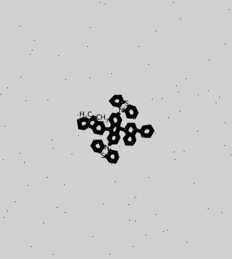 CC1(C)c2ccccc2-c2ccc(-c3c4cc(N5c6ccccc6Sc6ccccc65)ccc4c(-c4ccc(-c5ccccc5)c5ccccc45)c4cc(N5c6ccccc6Sc6ccccc65)ccc34)cc21